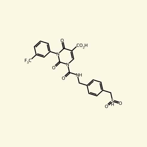 O=C(O)c1cn(C(=O)NCc2ccc(C[SH](=O)=O)cc2)c(=O)n(-c2cccc(C(F)(F)F)c2)c1=O